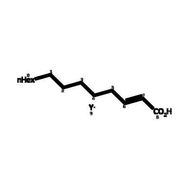 CCCCCCCCCCCC=CC(=O)O.[Y]